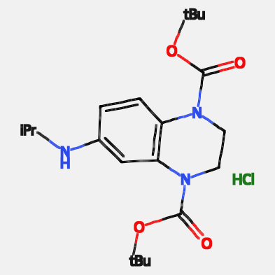 CC(C)Nc1ccc2c(c1)N(C(=O)OC(C)(C)C)CCN2C(=O)OC(C)(C)C.Cl